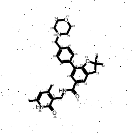 Cc1cc(C)c(CNC(=O)c2cc3c(c(-c4ccc(CN5CCOCC5)cc4)c2)OC(C)(C)C3)c(=O)[nH]1